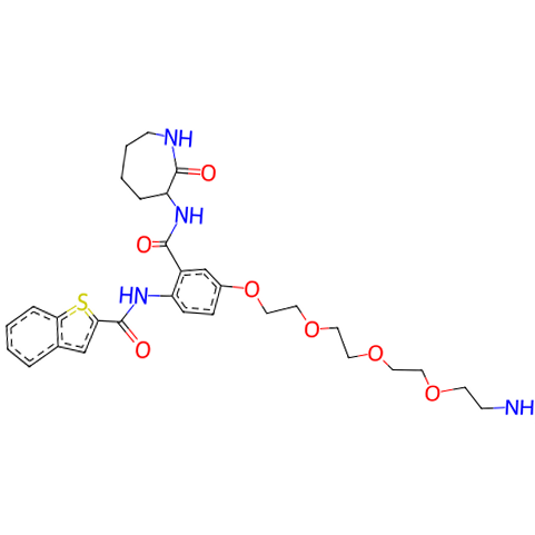 NCCOCCOCCOCCOc1ccc(NC(=O)c2cc3ccccc3s2)c(C(=O)NC2CCCCNC2=O)c1